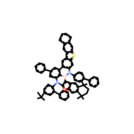 CC(C)(C)c1ccc(N2c3cc(-c4ccccc4)cc4c3B(c3c2oc2cc5c(cc32)C(C)(C)CCC5(C)C)N(c2ccc(-c3ccccc3)cc2)c2cc3sc5cc6ccccc6cc5c3cc2-4)c(-c2ccccc2)c1